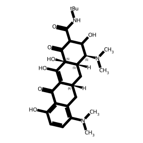 CN(C)c1ccc(O)c2c1C[C@H]1C[C@H]3[C@H](N(C)C)C(O)C(C(=O)NC(C)(C)C)C(=O)[C@@]3(O)C(O)=C1C2=O